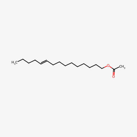 CCCCC=CCCCCCCCCCOC(C)=O